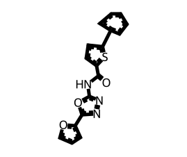 O=C(Nc1nnc(-c2ccco2)o1)c1ccc(-c2ccccc2)s1